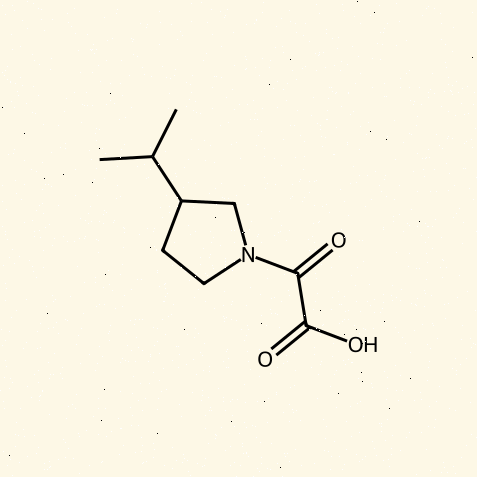 CC(C)C1CCN(C(=O)C(=O)O)C1